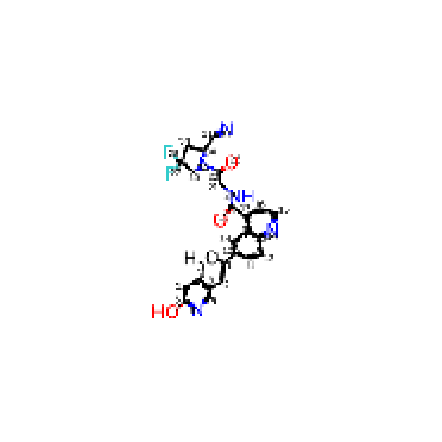 C/C(=C\c1ccc(O)nc1)c1ccc2nccc(C(=O)NCC(=O)N3CC(F)(F)CC3C#N)c2c1